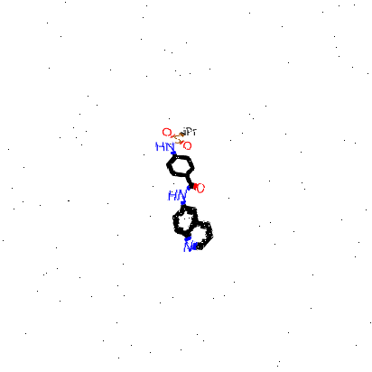 CC(C)S(=O)(=O)NC1CCC(C(=O)Nc2ccc3ncccc3c2)CC1